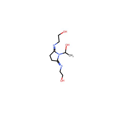 CC(O)N1C(=NCCO)CCC1=NCCO